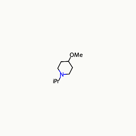 COC1CCN(C(C)C)CC1